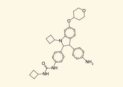 Nc1ccc(C2c3ccc(OC4CCOCC4)cc3N(C3CCC3)C2c2ccc(NC(=O)NC3CCC3)cc2)cc1